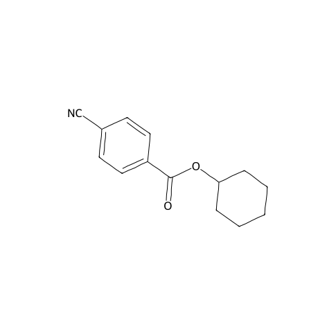 N#Cc1ccc(C(=O)OC2CCCCC2)cc1